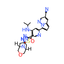 CC(=O)NC1C[C@H]2COC[C@@H](C1)N2c1nnc(-c2cnc(-c3ccc4cc(C#N)cnn34)cc2NC(C)C)s1